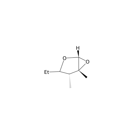 CCC1O[C@@H]2O[C@]2(C)[C@@H]1C